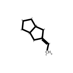 CC=C1CC2CCCC2C1